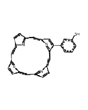 Sc1cccc(C2=CC3=CC4=NC(=CC5=NC(=CC6=NC(=CC2=N3)C=C6)C=C5)C=C4)c1